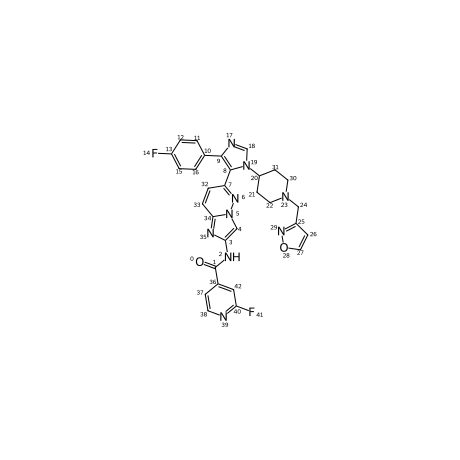 O=C(Nc1cn2nc(-c3c(-c4ccc(F)cc4)ncn3C3CCN(Cc4ccon4)CC3)ccc2n1)c1ccnc(F)c1